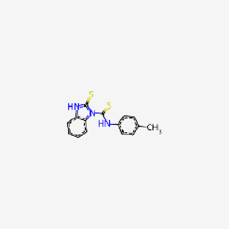 Cc1ccc(NC(=S)n2c(=S)[nH]c3ccccc32)cc1